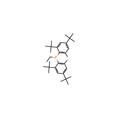 CCP(c1c(C)cc(C(C)(C)C)cc1C(C)(C)C)c1c(C)cc(C(C)(C)C)cc1C(C)(C)C